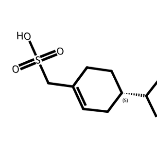 CC(C)[C@@H]1CC=C(CS(=O)(=O)O)CC1